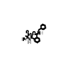 CC(C)C1(C)NC(c2ccccc2C(=O)NCc2ccccc2)=NC1=O